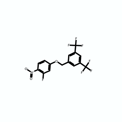 O=[N+]([O-])c1ccc(OCc2cc(C(F)(F)F)cc(C(F)(F)F)c2)cc1F